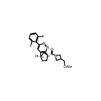 COCC1CN(C(=O)[C@]23CC[C@H](C2)c2cc(-c4c(F)cccc4F)nnc23)C1